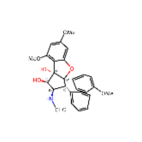 COc1ccc([C@@]23Oc4cc(OC)cc(OC)c4[C@]2(O)[C@H](O)[C@H](NC=O)[C@H]3c2ccccc2)cc1